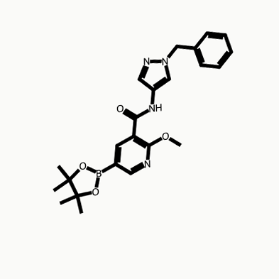 COc1ncc(B2OC(C)(C)C(C)(C)O2)cc1C(=O)Nc1cnn(Cc2ccccc2)c1